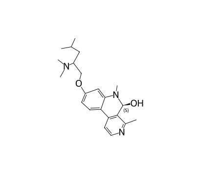 Cc1nccc2c1[C@H](O)N(C)c1cc(OCC(CC(C)C)N(C)C)ccc1-2